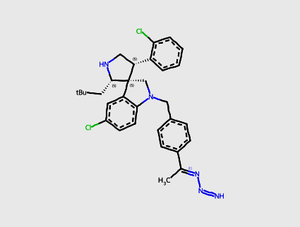 C/C(=N\N=N)c1ccc(CN2C[C@]3(c4cc(Cl)ccc42)[C@H](CC(C)(C)C)NC[C@@H]3c2ccccc2Cl)cc1